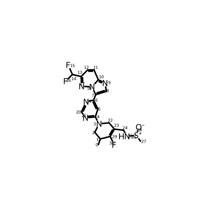 CC1CN(c2cc(-c3cnc4ccc(C(F)F)nn34)ncn2)CC(CN[S+](C)[O-])=C1F